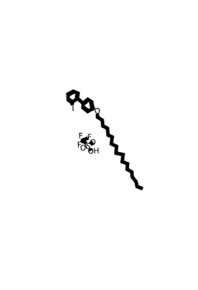 CCCCCCCCCCCCCCCCCCOc1ccc(-c2ccccc2I)cc1.O=S(=O)(O)C(F)(F)F